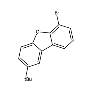 CC(C)(C)c1ccc2oc3c(Br)cccc3c2c1